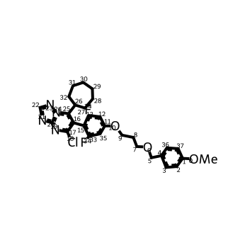 COc1ccc(COCCCOc2cc(F)c(-c3c(Cl)nc4ncnn4c3C3CCCCCC3)c(F)c2)cc1